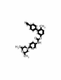 Cc1ccc(OC(=O)Nc2ccc(N3CC(C)OC(C)C3)nc2)cc1-c1ccc(C#N)cc1